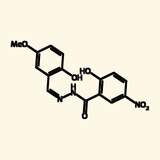 COc1ccc(O)c(/C=N\NC(=O)c2cc([N+](=O)[O-])ccc2O)c1